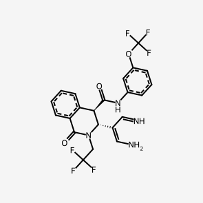 N=C/C(=C\N)[C@H]1[C@H](C(=O)Nc2cccc(OC(F)(F)F)c2)c2ccccc2C(=O)N1CC(F)(F)F